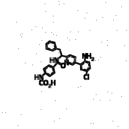 Nc1ccc(Cl)cc1-c1ccc(C(Cc2ccccc2)NC(=O)c2ccc(NC(=O)O)cc2)nc1